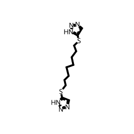 c1nn[nH]c1SCCCCCCCCSc1cnn[nH]1